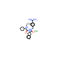 Cl.N=C(N)c1ccc(CNC(=O)C2(NC(=O)[C@H](NCC(=O)O)C3CCCCC3)Cc3ccccc3C2)cc1